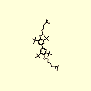 CC(C)(C)c1cc(-c2cc(C(C)(C)C)c(OCCCCC3CO3)c(C(C)(C)C)c2)cc(C(C)(C)C)c1OCCCCC1CO1